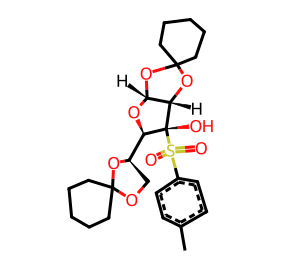 Cc1ccc(S(=O)(=O)[C@]2(O)[C@@H]([C@H]3COC4(CCCCC4)O3)O[C@@H]3OC4(CCCCC4)O[C@@H]32)cc1